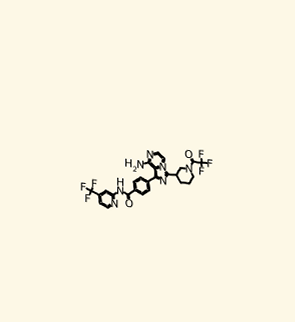 Nc1nccn2c(C3CCCN(C(=O)C(F)(F)F)C3)nc(-c3ccc(C(=O)Nc4cc(C(F)(F)F)ccn4)cc3)c12